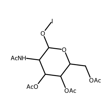 CC(=O)NC1C(OI)OC(COC(C)=O)C(OC(C)=O)C1OC(C)=O